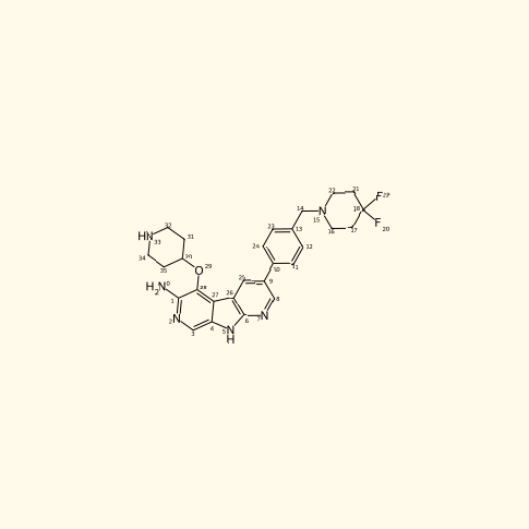 Nc1ncc2[nH]c3ncc(-c4ccc(CN5CCC(F)(F)CC5)cc4)cc3c2c1OC1CCNCC1